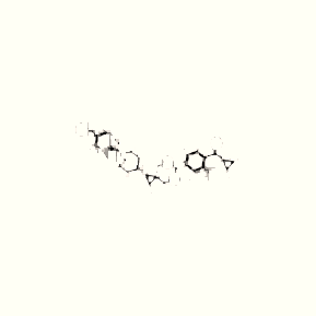 O=C(c1ccc([C@H]2OC[C@@]3(CO2)C[C@H]3C2CCN(c3ncc(Cl)cn3)CC2)cc1F)C1CC1